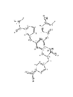 Cc1cc(Oc2nc(Oc3cccc(C(=O)N(C)C)c3)nc3c2NC(=O)C(CC2=CCC(=S(=O)=O)C=C2)O3)ccc1C#N